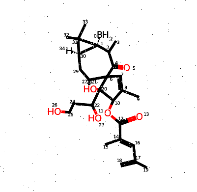 B[C@]12C(C)C(=O)C3(C=C(C)C(OC(=O)/C(C)=C/C(=C)C)C3(O)C(O)CCO)[C@H](C)C[C@H]1C2(C)C